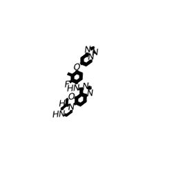 Cc1c(Oc2ccn3ncnc3c2)ccc(Nc2ncnc3ccc4c(c23)OC[C@@H]2CNCCN42)c1F